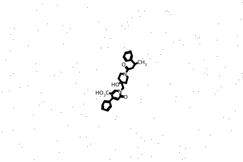 CC(CC(=O)N1CCC(O)(Cn2cc(C(=O)O)c(-c3ccccc3)cc2=O)CC1)c1ccccc1